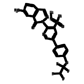 CCN=S(=O)(CC)c1cc(-c2ccc(OC(F)(F)C(F)F)cc2)cnc1-n1ncc2ccc(C(F)(F)F)cc2c1=O